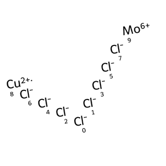 [Cl-].[Cl-].[Cl-].[Cl-].[Cl-].[Cl-].[Cl-].[Cl-].[Cu+2].[Mo+6]